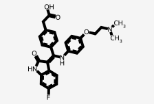 CN(C)CCOc1ccc(NC(=C2C(=O)Nc3cc(F)ccc32)c2ccc(CC(=O)O)cc2)cc1